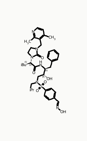 CC[C@H](C)[C@@H](C(=O)N[C@@H](Cc1ccccc1)[C@H](O)CN(CC(C)C)S(=O)(=O)c1ccc(C=NO)cc1)N1CCN(Cc2c(C)ccnc2C)C1=O